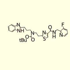 CC(C)(C)OC(=O)N(CCCc1nc2ccccc2[nH]1)CCc1nc(C(=O)NCc2ncccc2F)cs1